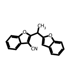 CC(c1cc2ccccc2o1)c1oc2ccccc2c1C#N